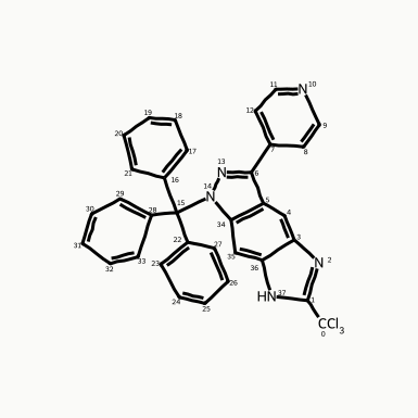 ClC(Cl)(Cl)c1nc2cc3c(-c4ccncc4)nn(C(c4ccccc4)(c4ccccc4)c4ccccc4)c3cc2[nH]1